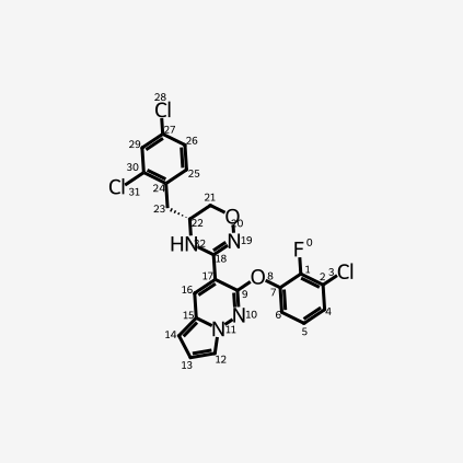 Fc1c(Cl)cccc1Oc1nn2cccc2cc1C1=NOC[C@@H](Cc2ccc(Cl)cc2Cl)N1